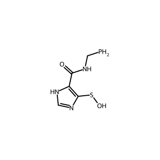 O=C(NCP)c1[nH]cnc1SO